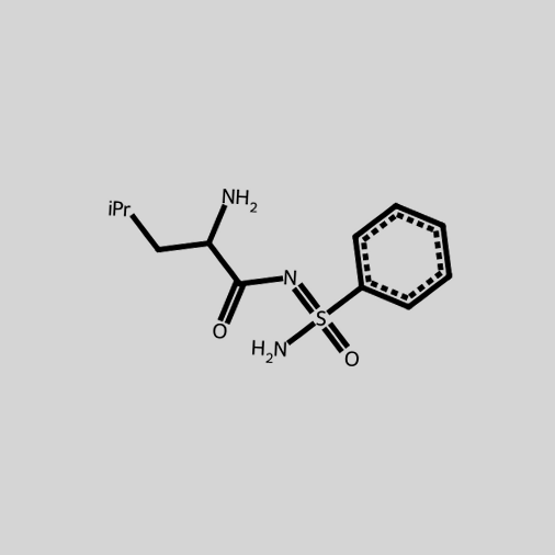 CC(C)CC(N)C(=O)N=S(N)(=O)c1ccccc1